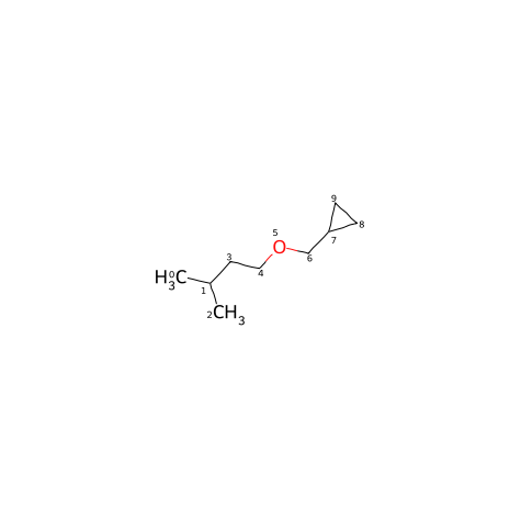 CC(C)CCOCC1CC1